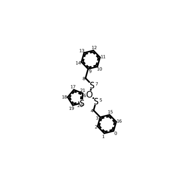 c1ccc(CSOSCc2ccccc2)cc1.c1ccsc1